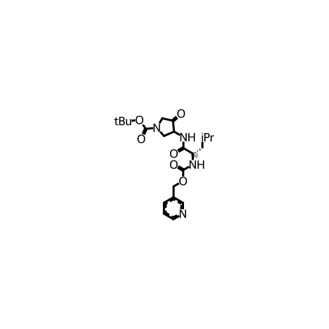 CC(C)C[C@H](NC(=O)OCc1cccnc1)C(=O)NC1CN(C(=O)OC(C)(C)C)CC1=O